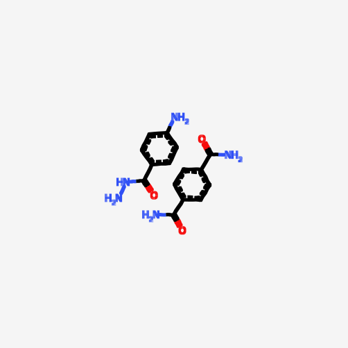 NC(=O)c1ccc(C(N)=O)cc1.NNC(=O)c1ccc(N)cc1